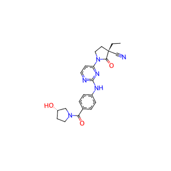 CC[C@]1(C#N)CCN(c2ccnc(Nc3ccc(C(=O)N4CC[C@H](O)C4)cc3)n2)C1=O